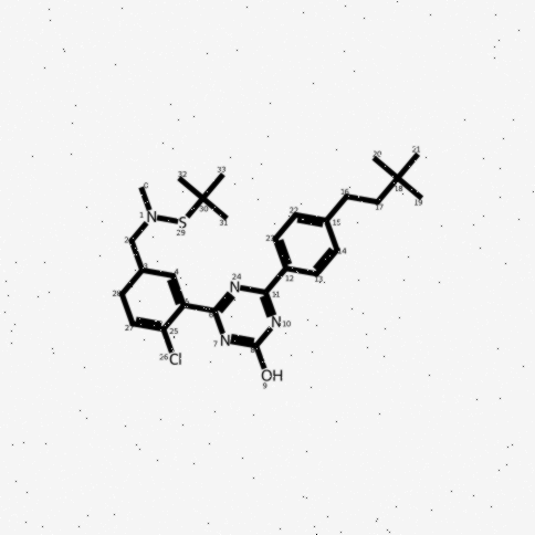 CN(CC1C=C(c2nc(O)nc(-c3ccc(CCC(C)(C)C)cc3)n2)C(Cl)=CC1)SC(C)(C)C